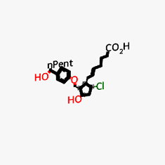 CCCCCC(O)c1ccc(OC[C@@H]2[C@@H](CC=CCCCC(=O)O)[C@H](Cl)C[C@H]2O)cc1